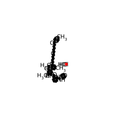 COc1cc(C(=O)N(C)c2ccc(C)cc2OCCCCCOCCCCCC(=O)N2CCN(C)CC2)ccc1NC(=O)c1cccc2[nH]c(N3CCOCC3)nc12.Cl.Cl